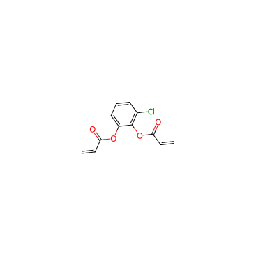 C=CC(=O)Oc1cccc(Cl)c1OC(=O)C=C